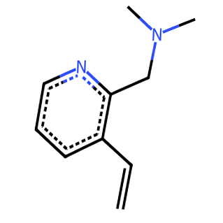 C=Cc1cccnc1CN(C)C